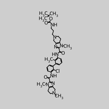 Cc1c(NC(=O)c2nc3c(n2C)CCN(CCCNC(=O)OC(C)(C)C)C3)cccc1-c1cccc(NC(=O)c2nc3c(n2C)CCN(C)C3)c1Cl